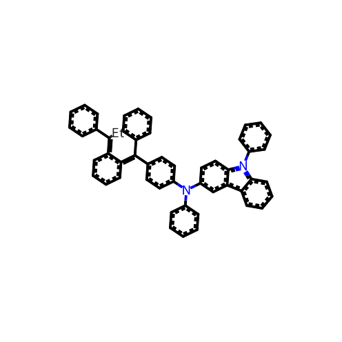 CC/C(c1ccccc1)=c1/cccc/c1=C(/c1ccccc1)c1ccc(N(c2ccccc2)c2ccc3c(c2)c2ccccc2n3-c2ccccc2)cc1